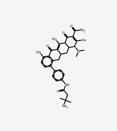 CN(C)[C@@H]1C(O)=C(C(N)=O)C(=O)C2C(O)=C3C(=O)c4c(O)ccc(-c5ccc(NC(=O)CC(C)(C)N)cc5)c4CC3CC21